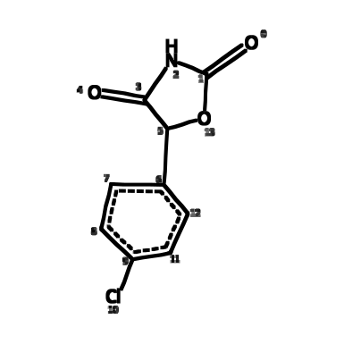 O=C1NC(=O)C(c2ccc(Cl)cc2)O1